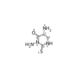 Nc1c[nH]c(=S)n(N)c1=O